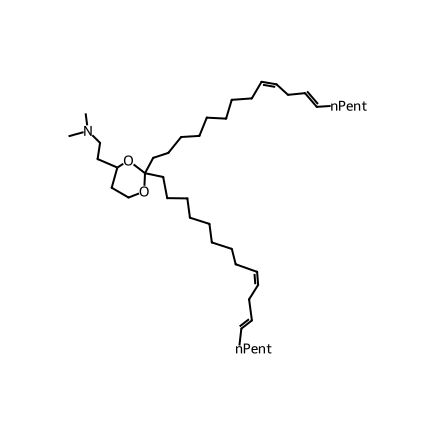 CCCCCC=CC/C=C\CCCCCCCCC1(CCCCCCCC/C=C\CC=CCCCCC)OCCC(CCN(C)C)O1